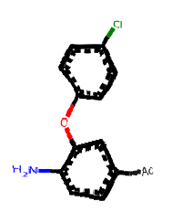 CC(=O)c1ccc(N)c(Oc2ccc(Cl)cc2)c1